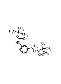 CC(C)(C)OC(=O)Nc1cc(CO[Si](C)(C)C(C)(C)C)ccn1